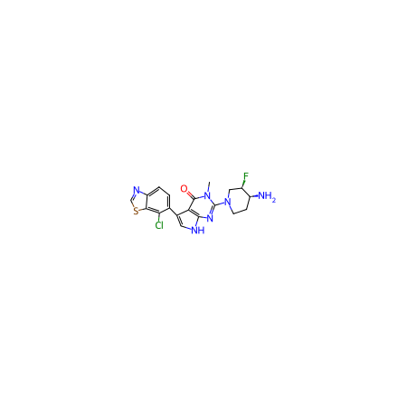 Cn1c(N2CC[C@H](N)[C@H](F)C2)nc2[nH]cc(-c3ccc4ncsc4c3Cl)c2c1=O